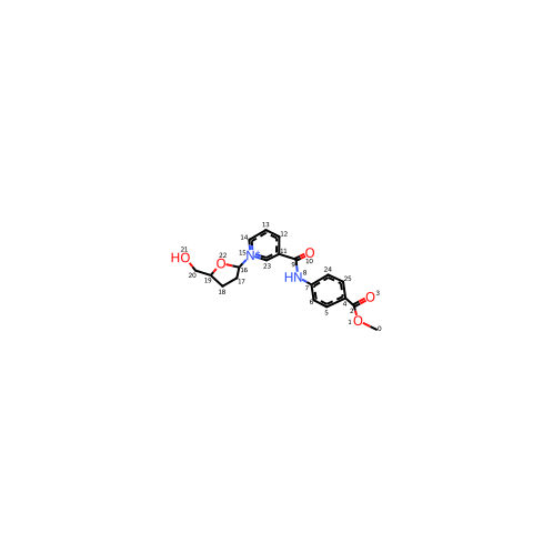 COC(=O)c1ccc(NC(=O)c2ccc[n+](C3CCC(CO)O3)c2)cc1